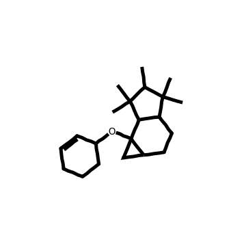 CC1C(C)(C)C2CCC3CC3(OC3C=CCCC3)C2C1(C)C